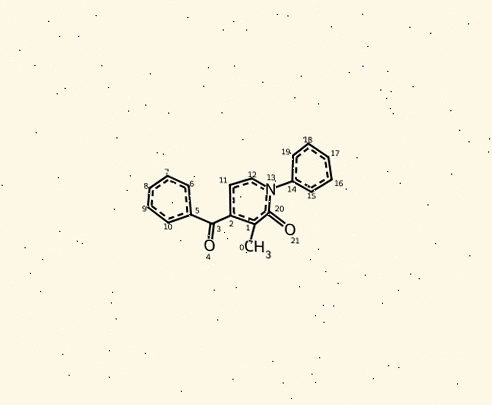 Cc1c(C(=O)c2ccccc2)ccn(-c2ccccc2)c1=O